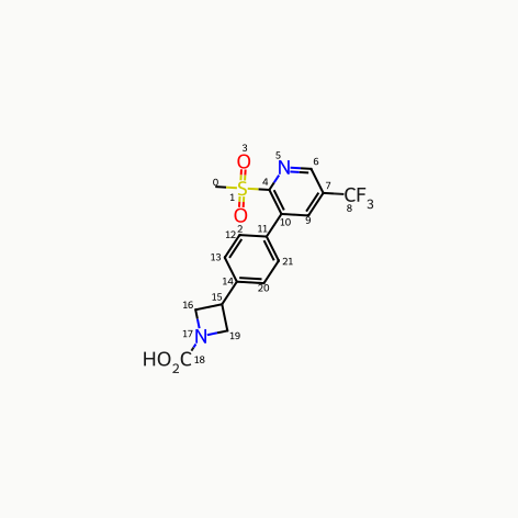 CS(=O)(=O)c1ncc(C(F)(F)F)cc1-c1ccc(C2CN(C(=O)O)C2)cc1